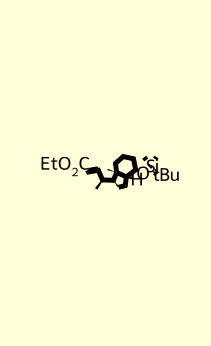 CCOC(=O)/C=C/[C@H](C)[C@H]1CC[C@H]2[C@H](O[Si](C)(C)C(C)(C)C)CCC[C@]12C